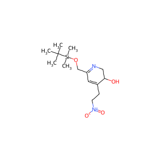 CC(C)(C)[Si](C)(C)OCC1=NCC(O)C(CC[N+](=O)[O-])=C1